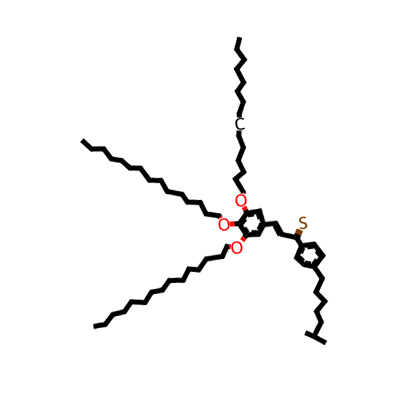 CCCCCCCCCCCCCCCOc1cc(C=CC(=S)c2ccc(CCCCCC(C)C)cc2)cc(OCCCCCCCCCCCCCCC)c1OCCCCCCCCCCCCCCC